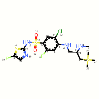 CN[C@H](CNc1cc(F)c(S(=O)(=O)Nc2ncc(F)s2)cc1Cl)CS(C)(C)C